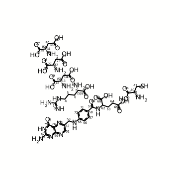 N=C(N)NCCC[C@H](N)C(=O)O.N[C@@H](CC(=O)O)C(=O)O.N[C@@H](CC(=O)O)C(=O)O.N[C@@H](CC(=O)O)C(=O)O.N[C@@H](CS)C(=O)O.Nc1nc2ncc(CNc3ccc(C(=O)NC(CCC(=O)O)C(=O)O)cc3)nc2c(=O)[nH]1